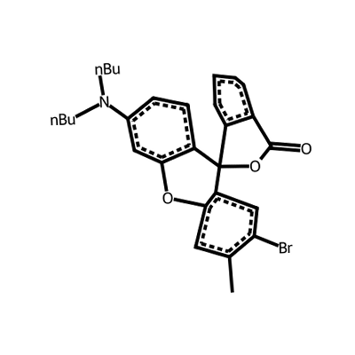 CCCCN(CCCC)c1ccc2c(c1)Oc1cc(C)c(Br)cc1C21OC(=O)c2ccccc21